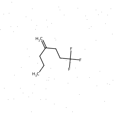 C=C(CCC)CCC(F)(F)F